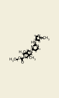 CCOC(=O)N1C[C@@]2(C)CN(c3ccnc(Nc4cnn(C)c4)n3)C[C@@]2(C)C1